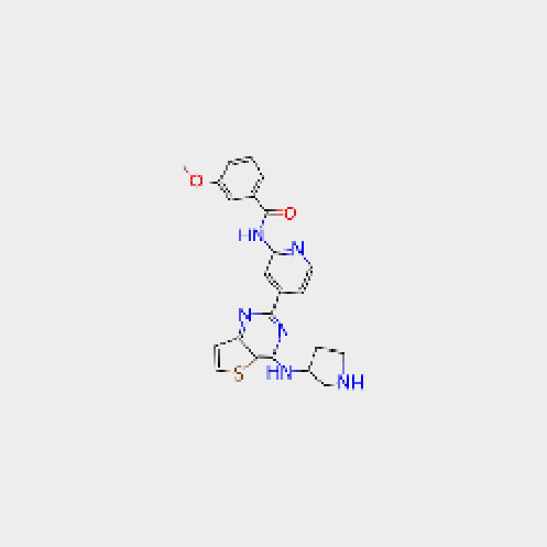 COc1cccc(C(=O)Nc2cc(-c3nc(NC4CCNC4)c4sccc4n3)ccn2)c1